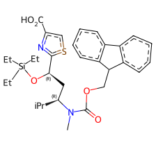 CC[Si](CC)(CC)O[C@H](C[C@H](C(C)C)N(C)C(=O)OCC1c2ccccc2-c2ccccc21)c1nc(C(=O)O)cs1